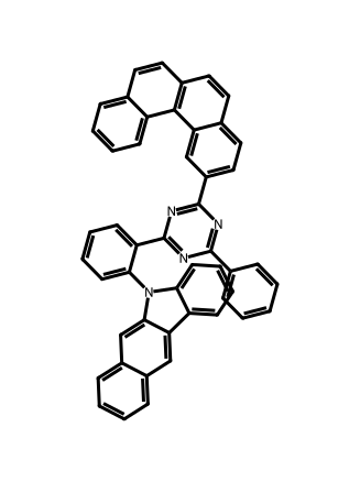 c1ccc(-c2nc(-c3ccc4ccc5ccc6ccccc6c5c4c3)nc(-c3ccccc3-n3c4ccccc4c4cc5ccccc5cc43)n2)cc1